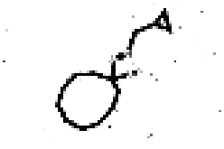 OC1(N=NCC2CC2)CCCCCCCCC1